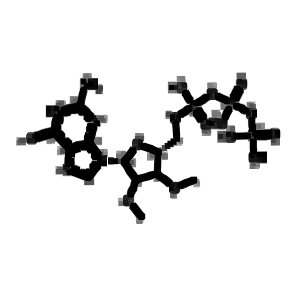 COC1C(OC)[C@@H](COP(=O)(O)OP(=O)(O)OP(=O)(O)O)O[C@H]1n1cnc2c(=O)[nH]c(N)nc21